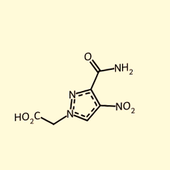 NC(=O)c1nn(CC(=O)O)cc1[N+](=O)[O-]